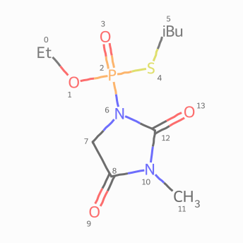 CCOP(=O)(SC(C)CC)N1CC(=O)N(C)C1=O